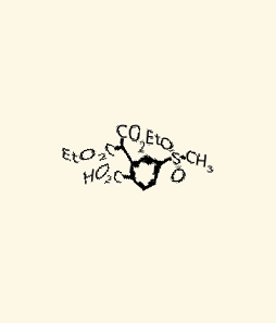 CCOC(=O)C(C(=O)OCC)c1cc(S(C)(=O)=O)ccc1C(=O)O